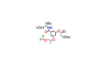 CCCCCCCCCCCC(CC)Oc1cc(OC(C)COC(F)F)cc(C(=O)NC(CCCC)CCCCCCCC)c1